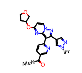 CNC(=O)c1ccc(-c2c(-c3cnn(C(C)C)c3)nn3ccc(OC4CCOC4)nc23)nc1